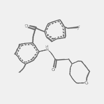 Cc1ccc(C(=O)c2ccc(F)cc2)c(NC(=O)CC2CCOCC2)c1